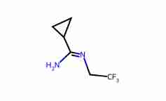 NC(=NCC(F)(F)F)C1CC1